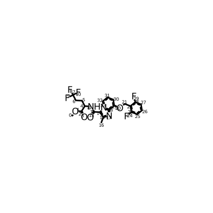 COC(=O)C(CCC(F)(F)F)NC(=O)c1c(C)nc2c(OCc3c(F)cccc3F)cccn12